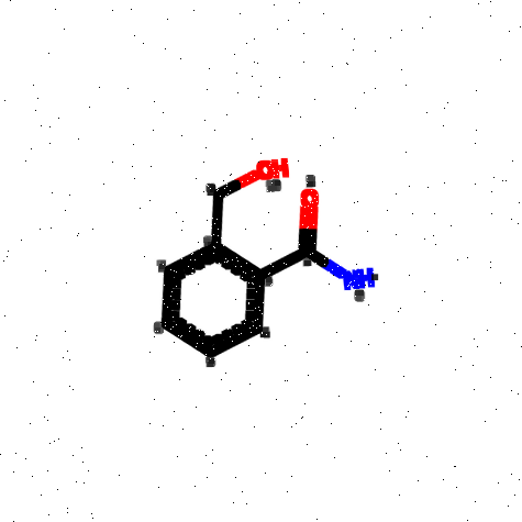 [NH]C(=O)c1ccccc1CO